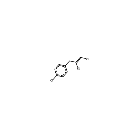 CC/C=C(\CC)Cc1ccc(Cl)nc1